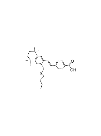 CCCCSCc1cc2c(cc1C=Cc1ccc(C(=O)O)cc1)C(C)(C)CCC2(C)C